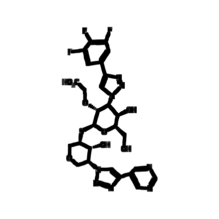 O=C(O)CO[C@@H]1[C@@H](n2cc(-c3cc(F)c(F)c(F)c3)nn2)[C@@H](O)[C@@H](CO)O[C@H]1S[C@@H]1COC[C@H](n2cc(-c3cncnc3)nn2)[C@H]1O